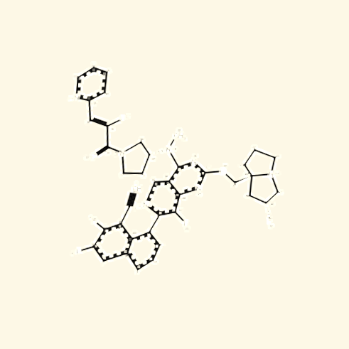 C#Cc1c(F)c(F)cc2cccc(-c3ncc4c(N(C)[C@@H]5CCN(C(=O)/C(F)=C/c6ccccn6)C5)nc(OC[C@@]56CCCN5C[C@H](F)C6)nc4c3F)c12